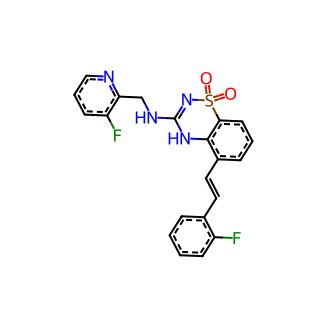 O=S1(=O)N=C(NCc2ncccc2F)Nc2c(/C=C/c3ccccc3F)cccc21